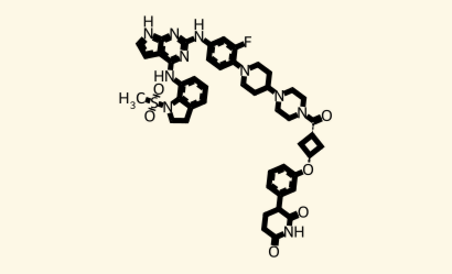 CS(=O)(=O)N1CCc2cccc(Nc3nc(Nc4ccc(N5CCC(N6CCN(C(=O)[C@H]7C[C@@H](Oc8cccc(C9CCC(=O)NC9=O)c8)C7)CC6)CC5)c(F)c4)nc4[nH]ccc34)c21